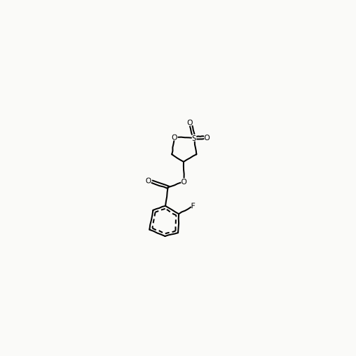 O=C(OC1COS(=O)(=O)C1)c1ccccc1F